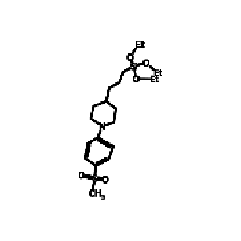 CCO[Si](CCCC1CCN(c2ccc(S(C)(=O)=O)cc2)CC1)(OCC)OCC